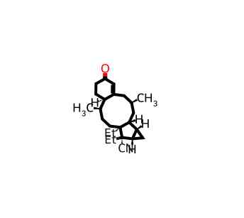 CC[C@]12CC[C@@H](C)[C@H]3CCC(=O)C=C3C[C@@H](C)C[C@@H]1[C@@H]1C[C@@H]1[C@@]2(C#N)CC